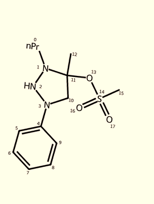 CCCN1NN(c2ccccc2)CC1(C)OS(C)(=O)=O